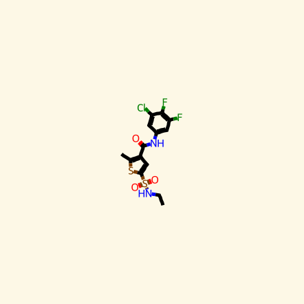 CCNS(=O)(=O)c1cc(C(=O)Nc2cc(F)c(F)c(Cl)c2)c(C)s1